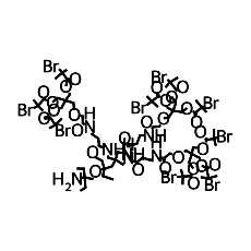 CCC(N)(CC)COC(CC)(CC)CC(CNC(=O)CCNC(=O)COCC(COC(=O)C(C)(C)Br)(COC(=O)C(C)(C)Br)COC(=O)C(C)(C)Br)(CNC(=O)CCNC(=O)COCC(COC(=O)C(C)(C)Br)(COC(=O)C(C)(C)Br)COC(=O)C(C)(C)Br)CNC(=O)CCNC(=O)COCC(COC(=O)C(C)(C)Br)(COC(=O)C(C)(C)Br)COC(=O)C(C)(C)Br